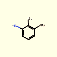 CC(C)(C)c1cccc([NH])c1C(C)(C)C